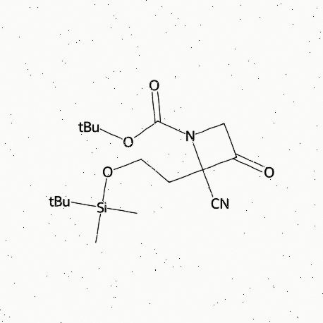 CC(C)(C)OC(=O)N1CC(=O)C1(C#N)CCO[Si](C)(C)C(C)(C)C